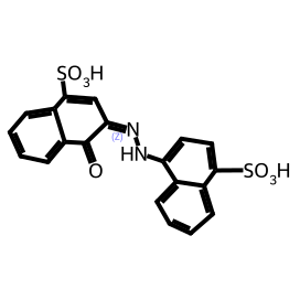 O=C1/C(=N\Nc2ccc(S(=O)(=O)O)c3ccccc23)C=C(S(=O)(=O)O)c2ccccc21